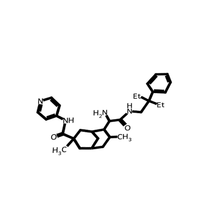 CCC(CC)(CNC(=O)C(N)C1C(C)CC2CC1CC(C)(C(=O)Nc1ccncc1)C2)c1ccccc1